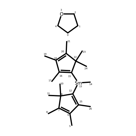 C1CCOC1.CC1=C(C)C(C)(C)[C]([Sm]([CH3])[C]2=C(C)C(C)=C(C)C2(C)C)=C1C